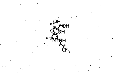 C[C@H]1N=C(NCCC(F)(F)F)S[C@H]1O[C@H](CO)[C@@H](O)CO